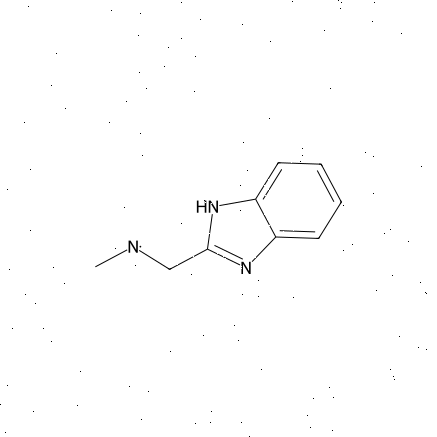 C[N]Cc1nc2ccccc2[nH]1